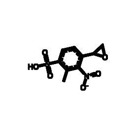 Cc1c(S(=O)(=O)O)ccc(C2CO2)c1[N+](=O)[O-]